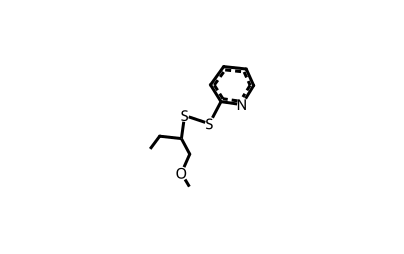 CCC(COC)SSc1ccccn1